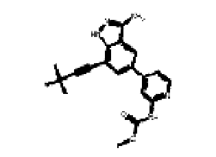 COC(=O)Nc1cc(-c2cc(C#CC(C)(C)C)c3[nH]nc(N)c3c2)ccn1